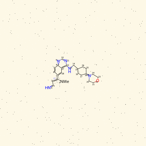 CN/C(=C\C=N)c1ccc2ncnc(NCC3CCC(N4CCOCC4)CC3)c2c1